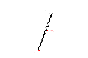 CCC=CCC=CC=CC(O)CC=CCC=CCCCC(=O)O